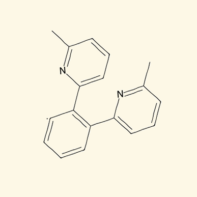 Cc1cccc(-c2[c]cccc2-c2cccc(C)n2)n1